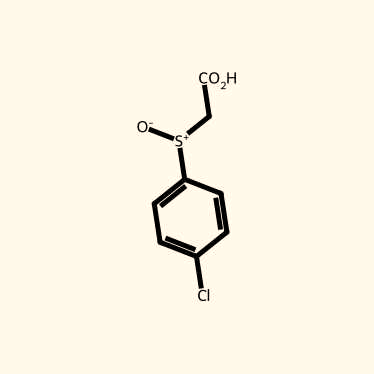 O=C(O)C[S+]([O-])c1ccc(Cl)cc1